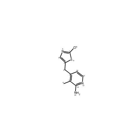 Cc1c(Cc2cnc(Cl)s2)ccnc1N